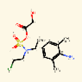 COCN(CCCl)S(=O)(=O)OC(=O)CO.Cc1cccc(C)c1N